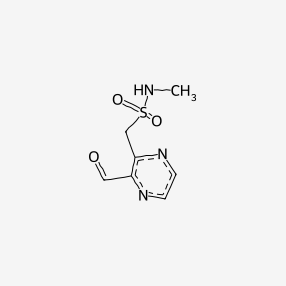 CNS(=O)(=O)Cc1nccnc1C=O